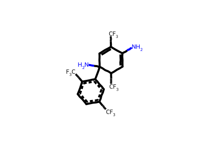 NC1=CC(C(F)(F)F)C(N)(c2cc(C(F)(F)F)ccc2C(F)(F)F)C=C1C(F)(F)F